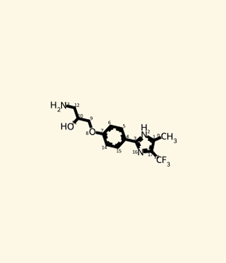 Cc1[nH]c(-c2ccc(OCC(O)CN)cc2)nc1C(F)(F)F